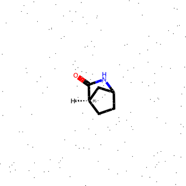 O=C1NC2CC[C@@H]1C2